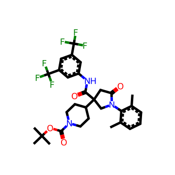 Cc1cccc(C)c1N1CC(C(=O)Nc2cc(C(F)(F)F)cc(C(F)(F)F)c2)(C2CCN(C(=O)OC(C)(C)C)CC2)CC1=O